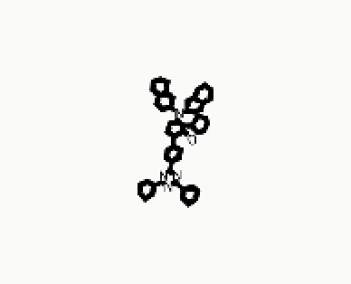 c1ccc(-c2nc(-c3ccccc3)nc(-c3ccc(-c4ccc(N(c5ccc6ccccc6c5)c5ccc6ccccc6c5)c5c4oc4ccccc45)cc3)n2)cc1